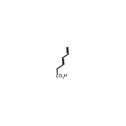 [CH]=CC=CCC(=O)O